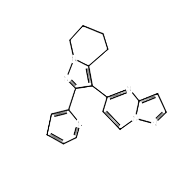 c1ccc(-c2nn3c(c2-c2ccn4nccc4n2)CCCC3)nc1